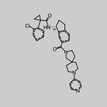 O=C(c1ccc2c(c1)[C@H](NC(=O)C1(c3ccccc3Cl)CC1)CC2)N1CCC2(CCN(c3ccncc3)CC2)C1